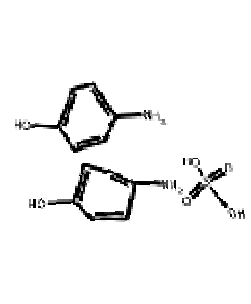 Nc1ccc(O)cc1.Nc1ccc(O)cc1.O=S(=O)(O)O